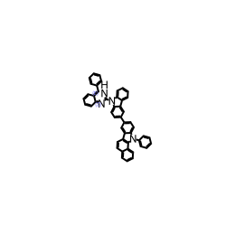 N=C(/N=C1/C=CC=C/C1=C\c1ccccc1)n1c2ccccc2c2cc(-c3ccc4c(c3)c3ccc5ccccc5c3n4-c3ccccc3)ccc21